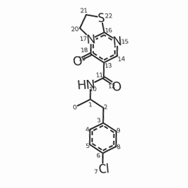 CC(Cc1ccc(Cl)cc1)NC(=O)c1cnc2n(c1=O)CCS2